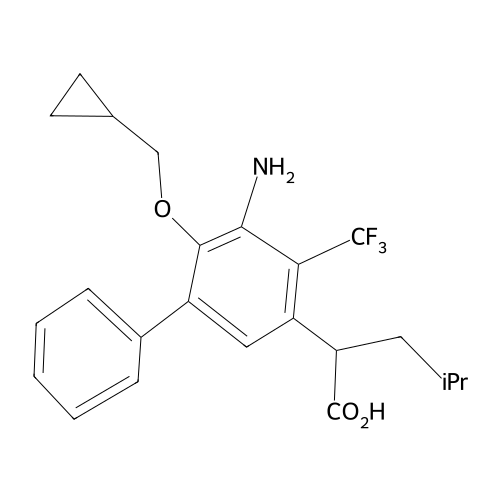 CC(C)CC(C(=O)O)c1cc(-c2ccccc2)c(OCC2CC2)c(N)c1C(F)(F)F